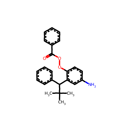 CC(C)(C)C(c1ccccc1)c1cc(N)ccc1OOC(=O)c1ccccc1